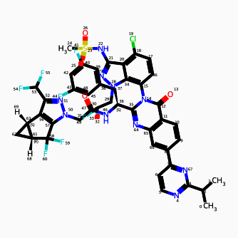 CC(C)c1nccc(-c2ccc3c(=O)n(-c4ccc(Cl)c5c(NS(C)(=O)=O)nn(CC(F)(F)F)c45)c([C@H](Cc4cc(F)cc(F)c4)NC(=O)Cn4nc(C(F)F)c5c4C(F)(F)[C@@H]4C[C@H]54)nc3c2)n1